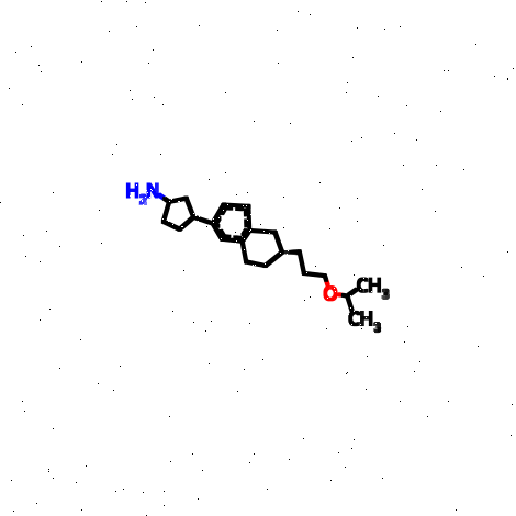 CC(C)OCCC[C@H]1CCc2cc(C3CCC(N)C3)ccc2C1